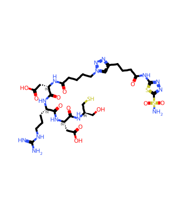 N=C(N)NCCC[C@H](NC(=O)[C@H](CC(=O)O)NC(=O)CCCCn1cc(CCCC(=O)Nc2nnc(S(N)(=O)=O)s2)nn1)C(=O)N[C@@H](CC(=O)O)C(=O)N[C@H](CO)CS